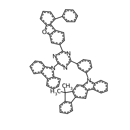 CC1(C)c2ccccc2-c2cc3c4ccccc4n(-c4cccc(-c5nc(-c6ccc7c(c6)oc6cccc(-c8ccccc8)c67)nc(-n6c7ccccc7c7ccccc76)n5)c4)c3cc21